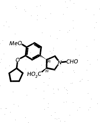 COc1ccc([C@@H]2CN(C=O)C[C@H]2C(=O)O)cc1OC1CCCC1